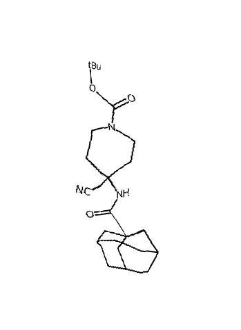 CC(C)(C)OC(=O)N1CCC(C#N)(NC(=O)C23CC4CC(CC(C4)C2)C3)CC1